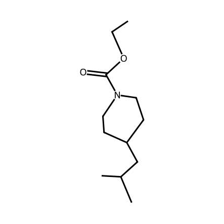 CCOC(=O)N1CCC(CC(C)C)CC1